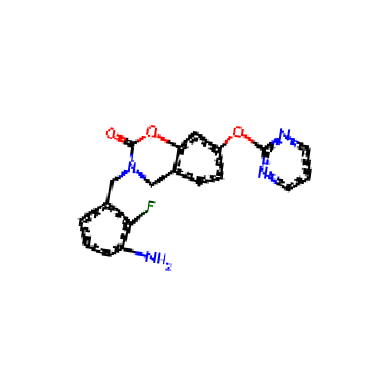 Nc1cccc(CN2Cc3ccc(Oc4ncccn4)cc3OC2=O)c1F